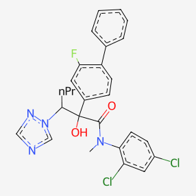 CCCC(n1cncn1)C(O)(C(=O)N(C)c1ccc(Cl)cc1Cl)c1ccc(-c2ccccc2)c(F)c1